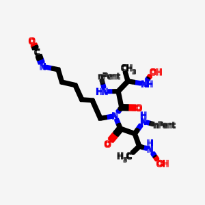 CCCCCNC(C(=O)N(CCCCCCN=C=O)C(=O)C(NCCCCC)C(C)NO)C(C)NO